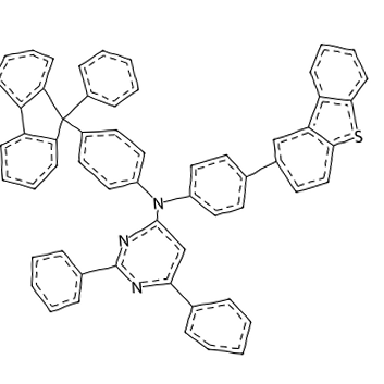 c1ccc(-c2cc(N(c3ccc(-c4ccc5sc6ccccc6c5c4)cc3)c3ccc(C4(c5ccccc5)c5ccccc5-c5ccccc54)cc3)nc(-c3ccccc3)n2)cc1